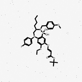 CCCCC1CN(c2ccc(F)cc2)c2cc(SCC)c(O/C=C/C(=O)OC(C)(C)C)cc2S(O)(O)N1Cc1ccc(OC)cc1